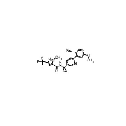 COc1cc(-c2ccc(C3(NC(=O)c4cc(C(F)(F)F)nn4C)CC3)cn2)c(C#N)cn1